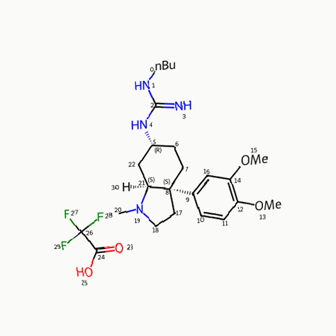 CCCCNC(=N)N[C@@H]1CC[C@@]2(c3ccc(OC)c(OC)c3)CCN(C)[C@H]2C1.O=C(O)C(F)(F)F